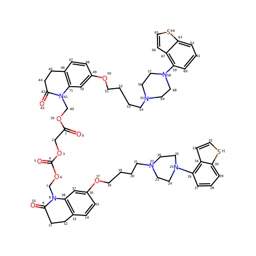 O=C(COC(=O)OCN1C(=O)CCc2ccc(OCCCCN3CCN(c4cccc5sccc45)CC3)cc21)OCN1C(=O)CCc2ccc(OCCCCN3CCN(c4cccc5sccc45)CC3)cc21